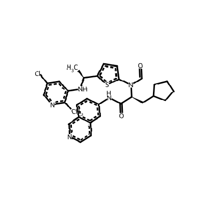 Cc1ncc(Cl)cc1N[C@@H](C)c1ccc(N(C=O)[C@@H](CC2CCCC2)C(=O)Nc2ccc3cnccc3c2)s1